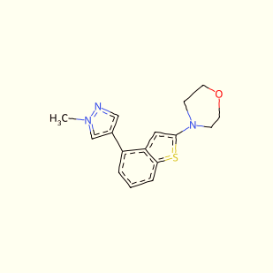 Cn1cc(-c2cccc3sc(N4CCOCC4)cc23)cn1